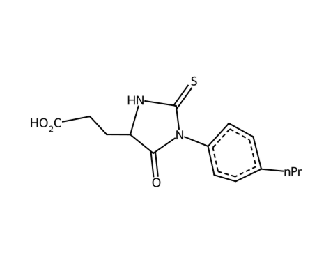 CCCc1ccc(N2C(=O)C(CCC(=O)O)NC2=S)cc1